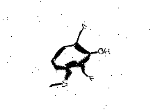 CSc1ccc(F)c(O)c1F